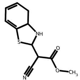 COC(=O)C(C#N)C1NC2CC=CC=C2S1